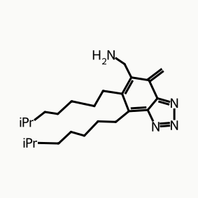 C=c1c(CN)c(CCCCCC(C)C)c(CCCCCC(C)C)c2c1=NN=N2